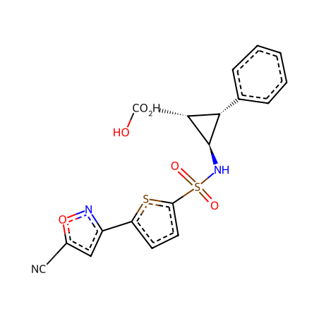 C[C@H]1[C@H](NS(=O)(=O)c2ccc(-c3cc(C#N)on3)s2)[C@H]1c1ccccc1.O=C(O)O